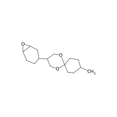 CC1CCC2(CC1)OCC(C1CCC3OC3C1)CO2